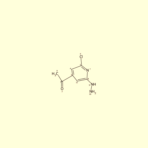 CC(=O)c1cc(Cl)nc(NN)c1